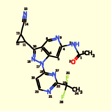 CC(=O)Nc1cc2c(cn1)c(C1CC1C#N)nn2-c1ccnc(C(C)(F)F)n1